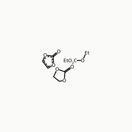 CCOC(=O)OCC.O=C1OCCO1.O=c1occo1